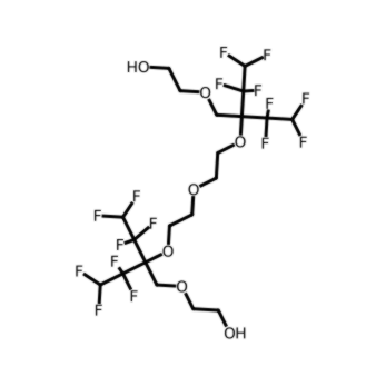 OCCOCC(OCCOCCOC(COCCO)(C(F)(F)C(F)F)C(F)(F)C(F)F)(C(F)(F)C(F)F)C(F)(F)C(F)F